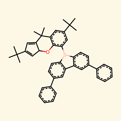 CC(C)(C)C1=CC2Oc3c(B4c5ccc(-c6ccccc6)cc5-c5cc(-c6ccccc6)ccc54)cc(C(C)(C)C)cc3C(C)(C)C2=C1